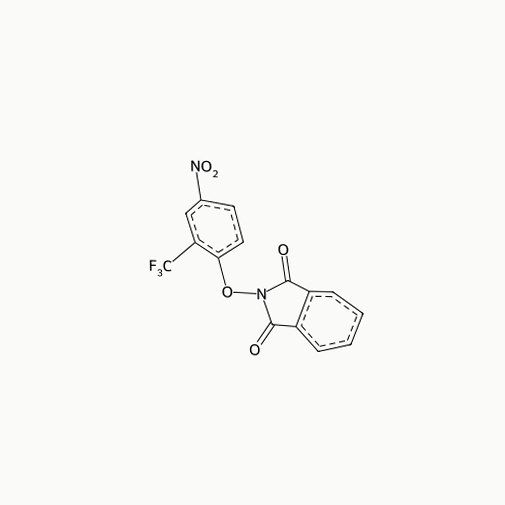 O=C1c2ccccc2C(=O)N1Oc1ccc([N+](=O)[O-])cc1C(F)(F)F